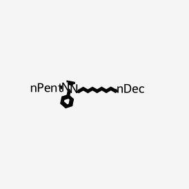 CCCCCCCCCCCCCCCCCCCN1C=CN(CCCCC)C1c1ccccc1